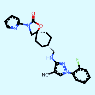 N#Cc1cn(-c2ccccc2F)nc1NC[C@H]1CC[C@]2(CC1)CN(c1ccccn1)C(=O)O2